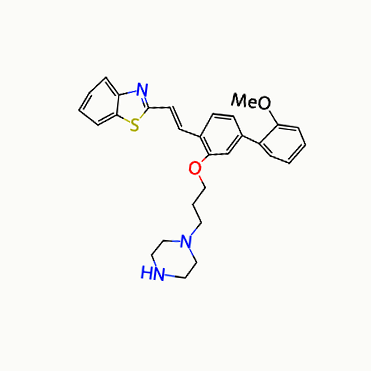 COc1ccccc1-c1ccc(C=Cc2nc3ccccc3s2)c(OCCCN2CCNCC2)c1